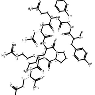 CNC(Cc1ccc(O)cc1)C(=O)N[C@@H](Cc1ccccc1)C(=O)NC(CCC(N)=O)C(=O)N[C@@H](CC(N)=O)C(=O)NC(CCCCN)C(=O)N1CCC[C@H]1C(=O)N[C@@H](CCCNC(=N)N)C(=O)N[C@@H](CCC(=O)O)C(N)=O